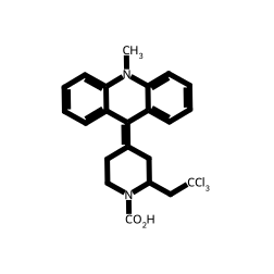 CN1c2ccccc2C(=C2CCN(C(=O)O)C(CC(Cl)(Cl)Cl)C2)c2ccccc21